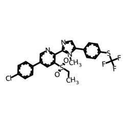 CCS(=O)(=O)c1cc(-c2ccc(Cl)cc2)cnc1-c1ncc(-c2ccc(SC(F)(F)F)cc2)n1C